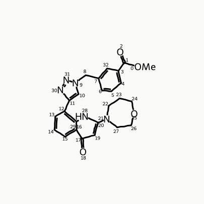 COC(=O)c1cccc(Cn2cc(-c3cccc4c(=O)cc(N5CCCOCC5)[nH]c34)nn2)c1